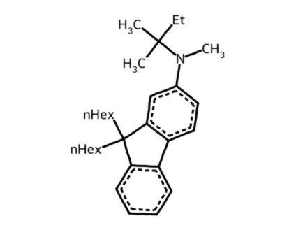 CCCCCCC1(CCCCCC)c2ccccc2-c2ccc(N(C)C(C)(C)CC)cc21